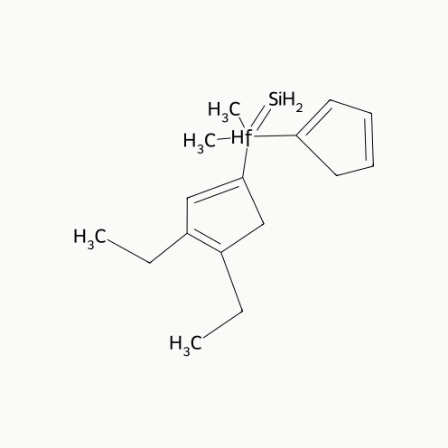 CCC1=C(CC)C[C]([Hf]([CH3])([CH3])(=[SiH2])[C]2=CC=CC2)=C1